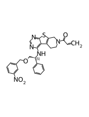 C=CC(=O)N1CCc2c(sc3ncnc(N[C@H](COCc4cccc([N+](=O)[O-])c4)c4ccccc4)c23)C1